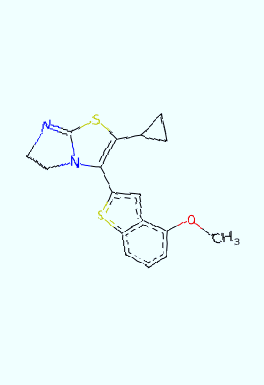 COc1cccc2sc(C3=C(C4CC4)SC4=NCCN43)cc12